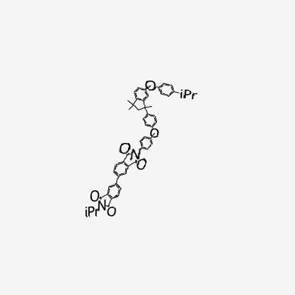 CC(C)c1ccc(Oc2ccc3c(c2)C(C)(c2ccc(Oc4ccc(N5C(=O)c6ccc(-c7ccc8c(c7)C(=O)N(C(C)C)C8=O)cc6C5=O)cc4)cc2)CC3(C)C)cc1